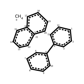 C.c1ccc(-c2ccccc2)cc1.c1ccc2ccccc2c1